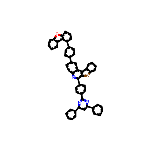 c1ccc(-c2cc(-c3ccccc3)nc(-c3ccc(-c4nc5ccc(-c6ccc(-c7cccc8oc9ccccc9c78)cc6)cc5c5c4sc4ccccc45)cc3)n2)cc1